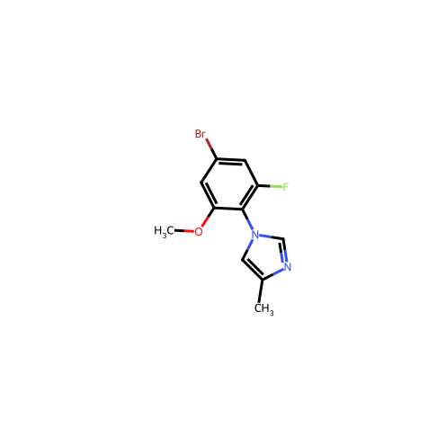 COc1cc(Br)cc(F)c1-n1cnc(C)c1